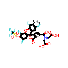 Cc1c(F)cc2c(c1F)Oc1c(cc(F)c(OS(=O)(=O)C(F)(F)F)c1F)C21OC(=O)c2cc(C(=O)N(CC(=O)O)CC(=O)O)ccc21